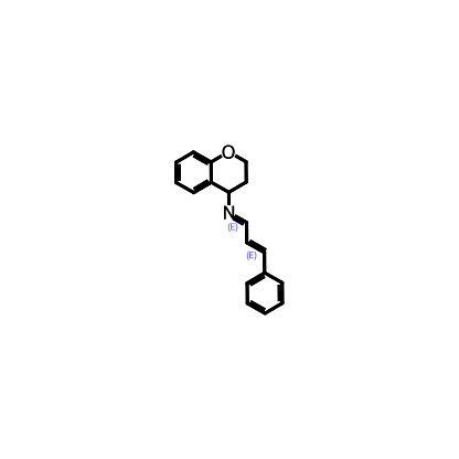 C(=C\c1ccccc1)/C=N/C1CCOc2ccccc21